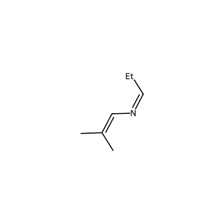 CC/C=N\C=C(C)C